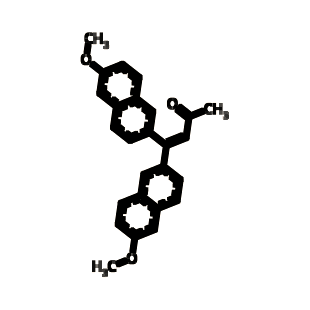 COc1ccc2cc(C(=CC(C)=O)c3ccc4cc(OC)ccc4c3)ccc2c1